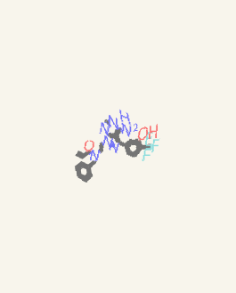 C=CC(=O)N(CCn1nc(-c2ccc(C(F)(F)F)c(O)c2)c2c(N)ncnc21)Cc1ccccc1